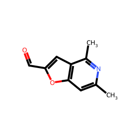 Cc1cc2oc(C=O)cc2c(C)n1